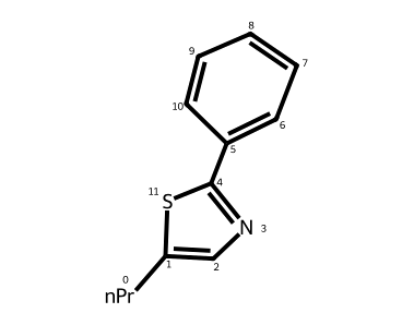 C[CH]Cc1cnc(-c2ccccc2)s1